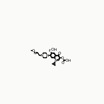 CON=CCN1CCN(c2cc3c(cc2F)c(=O)c(OC(=O)O)cn3C2CC2)CC1.Cl